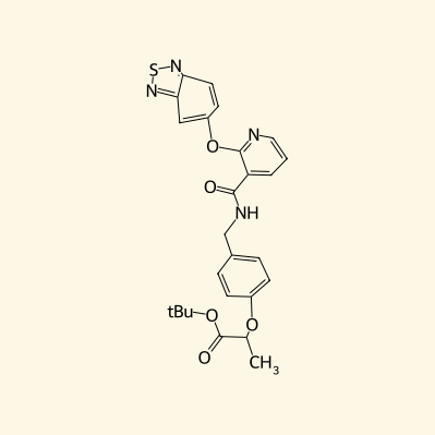 CC(Oc1ccc(CNC(=O)c2cccnc2Oc2ccc3nsnc3c2)cc1)C(=O)OC(C)(C)C